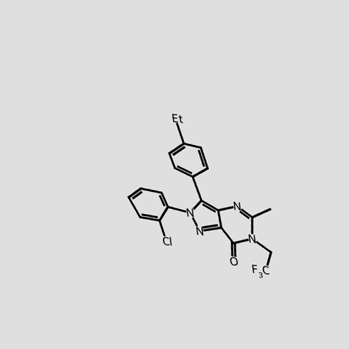 CCc1ccc(-c2c3nc(C)n(CC(F)(F)F)c(=O)c3nn2-c2ccccc2Cl)cc1